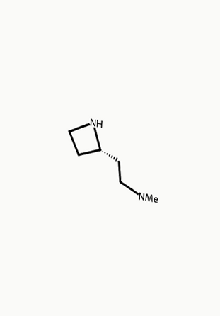 CNCC[C@@H]1CCN1